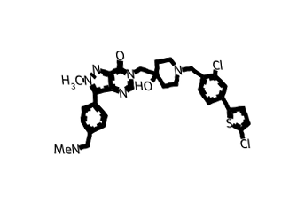 CNCc1ccc(-c2c3ncn(CC4(O)CCN(Cc5ccc(-c6ccc(Cl)s6)cc5Cl)CC4)c(=O)c3nn2C)cc1